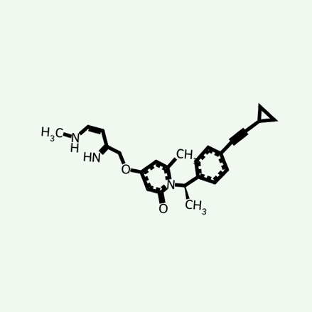 CN/C=C\C(=N)COc1cc(C)n([C@H](C)c2ccc(C#CC3CC3)cc2)c(=O)c1